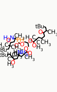 CC(CC(=O)C(C)CC(C)(C)C)CC(C)(C)C(=O)OC(COC(=O)PC(C)(N)CC(=O)C(C)(C)CC(C)(C)C)COC(=O)C(C)(C)CC(C)(N)CC(=O)C(C)(C)CC(C)(C)C